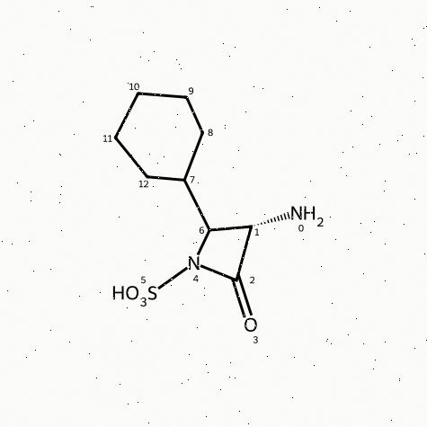 N[C@@H]1C(=O)N(S(=O)(=O)O)C1C1CCCCC1